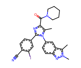 Cc1c2cc(-n3c(-c4ccc(C#N)c(I)c4)nc(C(=O)N4CCCCC4)c3C)ccc2nn1C